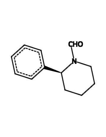 O=CN1CCCC[C@H]1c1ccccc1